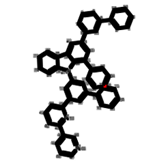 c1ccc(-c2cccc(-c3cc(-c4ccccc4)c4c(c3)c3ccccc3n4-c3cc(-c4ccccc4)cc(-c4cccc(-c5cccnc5)n4)c3)c2)cc1